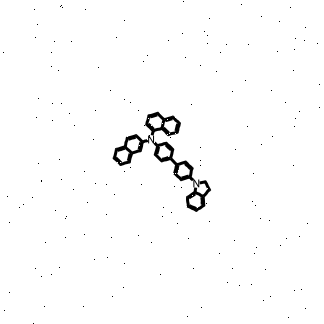 c1ccc2c(c1)CCN2c1ccc(-c2ccc(N(c3ccc4ccccc4c3)c3cccc4ccccc34)cc2)cc1